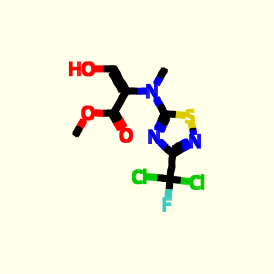 COC(=O)C(=CO)N(C)c1nc(C(F)(Cl)Cl)ns1